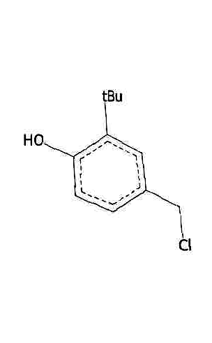 CC(C)(C)c1cc(CCl)ccc1O